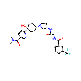 CN(C)C(=O)c1ccc(C2(O)CCC(N3CC[C@@H](NC(=O)CNC(=O)c4cccc(C(F)(F)F)c4)C3)CC2)nc1